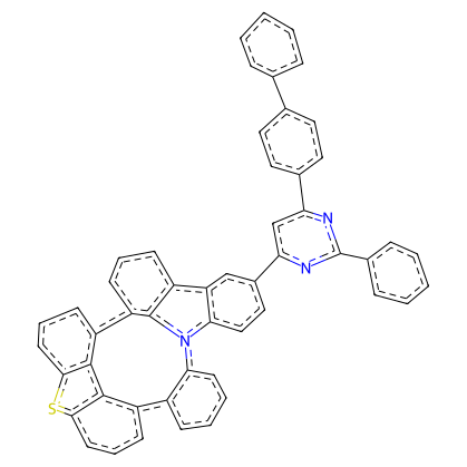 c1ccc(-c2ccc(-c3cc(-c4ccc5c(c4)c4cccc6c7cccc8sc9cccc(c%10ccccc%10n5c64)c9c87)nc(-c4ccccc4)n3)cc2)cc1